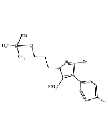 CCOC(=O)c1c(-c2ccc(F)cc2)c(Br)nn1CCCO[Si](C)(C)C(C)(C)C